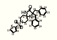 O=C1NC2(CCN(S(=O)(=O)c3cccs3)CC2)NC1(Cc1ccccc1)Cc1ccccc1